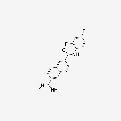 N=C(N)c1ccc2cc(C(=O)Nc3ccc(F)cc3F)ccc2c1